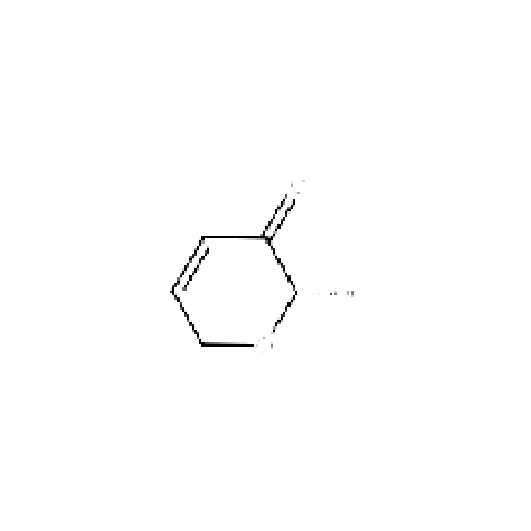 C[C@@H]1O[CH]C=CC1=O